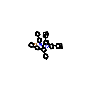 c1ccc(-c2ccc(N3B4c5c(cc(-c6ccccc6)cc5-n5c6ccc(C78CC9CC%10CC(C7)C%109C8)cc6c6cc(C78CC9CC%10CC(C7)C%109C8)cc4c65)-c4ccc5c(sc6ccccc65)c43)cc2)cc1